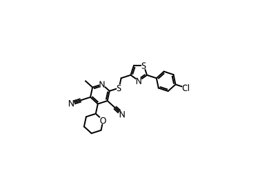 Cc1nc(SCc2csc(-c3ccc(Cl)cc3)n2)c(C#N)c(C2CCCCO2)c1C#N